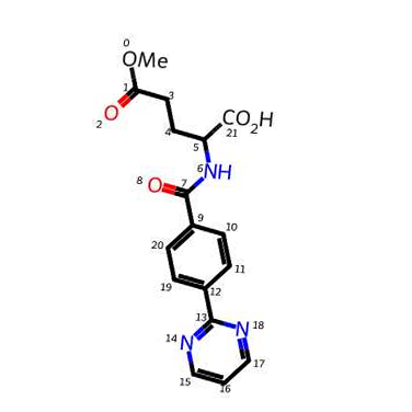 COC(=O)CCC(NC(=O)c1ccc(-c2ncccn2)cc1)C(=O)O